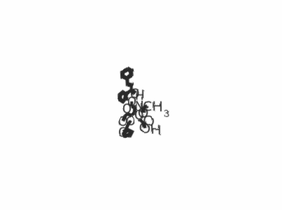 CC(=O)NC1C(Oc2ccccc2C(=O)/C=C/c2ccccc2)OC2COC(c3ccco3)OC2C1OCC(=O)O